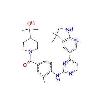 Cc1cc(C(=O)N2CCC(C(C)(C)O)CC2)ccc1Nc1nccc(-c2cnc3c(c2)C(C)(C)CN3)n1